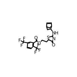 O=C(OCCC1SC(NC2CC3C=CC2C3)=NC1=O)c1cc(C(F)(F)F)ccc1C(F)(F)F